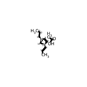 CC(=O)O.CC=CN1C=CN(CCC)C1